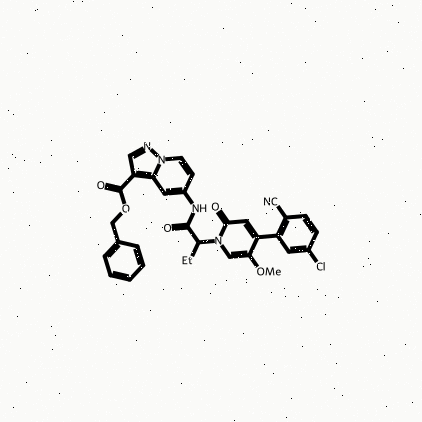 CCC(C(=O)Nc1ccn2ncc(C(=O)OCc3ccccc3)c2c1)n1cc(OC)c(-c2cc(Cl)ccc2C#N)cc1=O